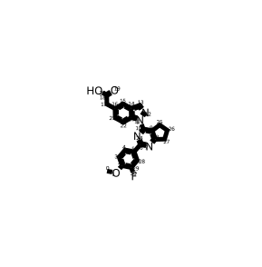 COc1ccc(-c2nc3c(c(-n4ncc5cc(CC(=O)O)ccc54)n2)CCC3)cc1F